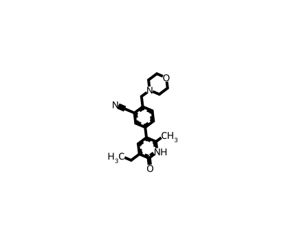 CCc1cc(-c2ccc(CN3CCOCC3)c(C#N)c2)c(C)[nH]c1=O